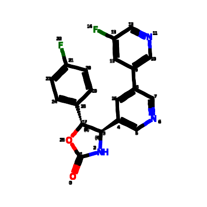 O=C1N[C@H](c2cncc(-c3cncc(F)c3)c2)[C@@H](c2ccc(F)cc2)O1